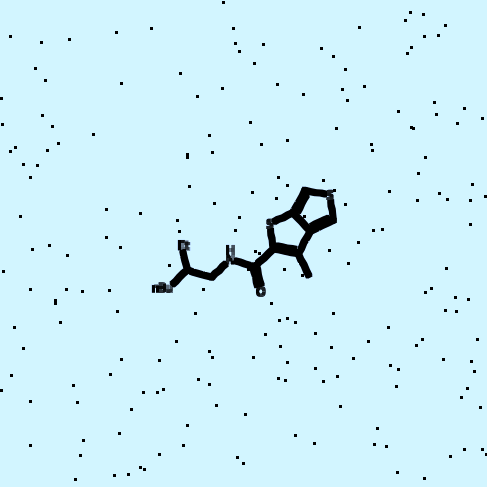 CCCCC(CC)CNC(=O)c1sc2cscc2c1C